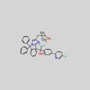 CC(C)(CO)Cc1cn(C(c2ccccc2)(c2ccccc2)c2ccccc2)c(CC(O)(c2ccc(-c3ccc(F)cn3)cc2)C(F)F)n1